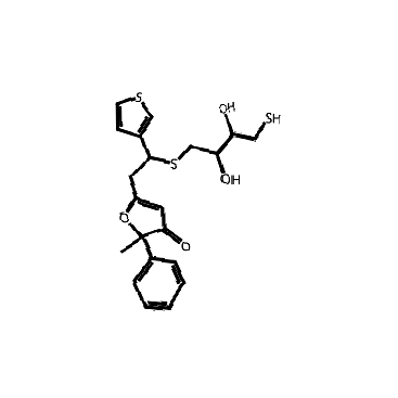 CC1(c2ccccc2)OC(CC(SCC(O)C(O)CS)c2ccsc2)=CC1=O